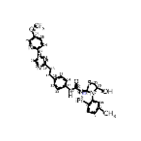 Cc1ccc(C(C)C)c(N2/C(=N/C(=O)Nc3ccc(CCc4ncn(-c5ccc(OC(F)(F)F)cn5)n4)cc3)SCC2O)c1